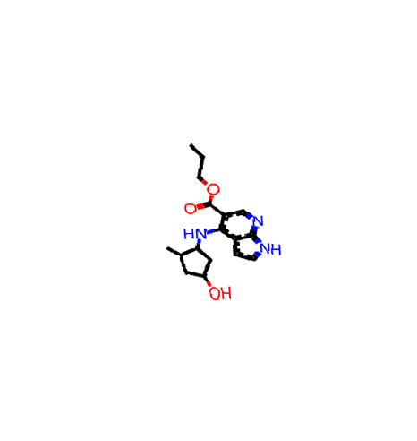 CCCOC(=O)c1cnc2[nH]ccc2c1NC1CC(O)CC1C